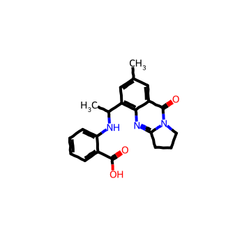 Cc1cc(C(C)Nc2ccccc2C(=O)O)c2nc3n(c(=O)c2c1)CCC3